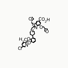 C[C@]1(c2ccc(Cl)cn2)Oc2cccc(C3CCN(Cc4nc5c(OCC6COC6)cc(C(=O)O)cc5n4C[C@@H]4CCO4)CC3)c2O1